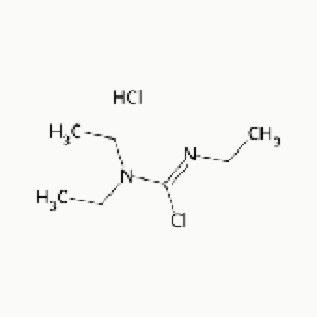 CCN=C(Cl)N(CC)CC.Cl